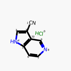 Cl.N#Cc1c[nH]c2ccncc12